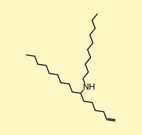 C=CCCCCC(CCCCCCCCC)NCCCCCCCCCC